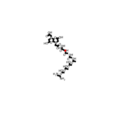 CC(=O)O.CC(=O)O.CC(=O)O.CC(=O)O.CC(=O)O.CC(=O)O.CC(=O)O.NCCN.O=C(O)CN(CCN(CC(=O)O)CC(=O)O)CC(=O)O